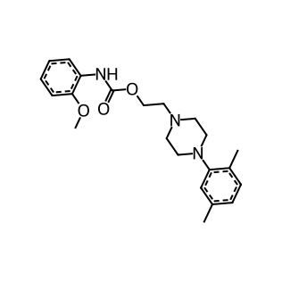 COc1ccccc1NC(=O)OCCN1CCN(c2cc(C)ccc2C)CC1